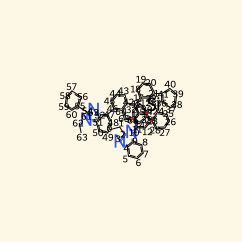 CCc1nc2ccccc2n1-c1cccc2c(-c3cccc4c3[Si](c3ccccc3)(c3ccccc3)c3ccccc3-4)c3cccc(-c4cccc5c4nc(-c4ccccc4)n5CC)c3cc12